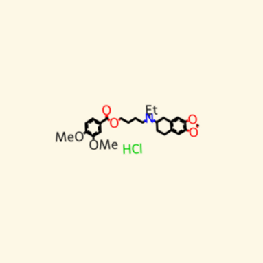 CCN(CCCCOC(=O)c1ccc(OC)c(OC)c1)C1CCc2cc3c(cc2C1)OCO3.Cl